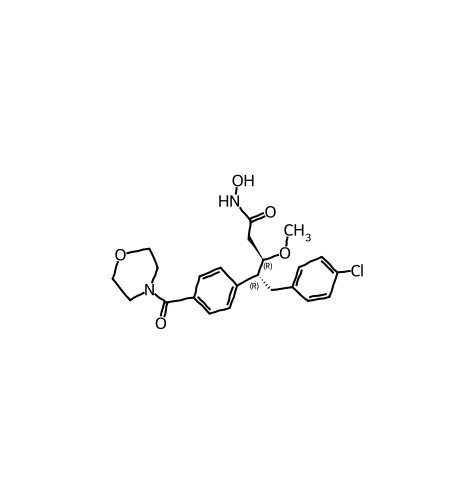 CO[C@H](CC(=O)NO)[C@H](Cc1ccc(Cl)cc1)c1ccc(C(=O)N2CCOCC2)cc1